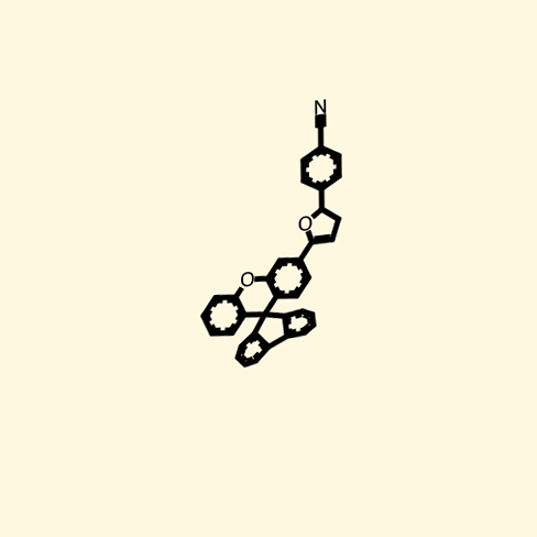 N#Cc1ccc(C2CC=C(c3ccc4c(c3)Oc3ccccc3C43c4ccccc4-c4ccccc43)O2)cc1